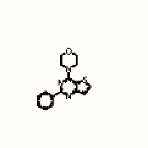 c1ccc(-c2nc(N3CCOCC3)c3sccc3n2)cc1